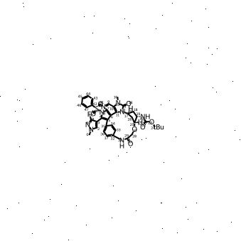 Cn1cc(-c2c3c4c(ncc5c4n(c(=O)n5C)[C@H]4C[C@H](NC(=O)OC(C)(C)C)[C@@H](C4)OCC(=O)Nc4ccc-3cc4)n2S(=O)(=O)c2ccccc2)c(F)n1